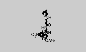 COC(=O)CC(NC(=O)CNC(=O)CCCNc1cc(C)ccn1)c1ccc([N+](=O)[O-])cc1